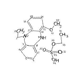 CCN1c2ccccc2Nc2c(OC)cccc21.CCOS(=O)(=O)O